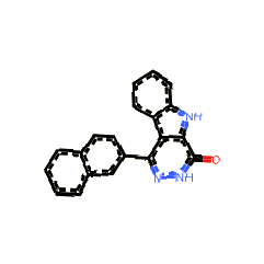 O=c1[nH]nc(-c2ccc3ccccc3c2)c2c1[nH]c1ccccc12